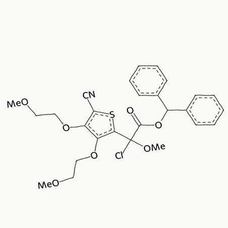 COCCOc1c(C#N)sc(C(Cl)(OC)C(=O)OC(c2ccccc2)c2ccccc2)c1OCCOC